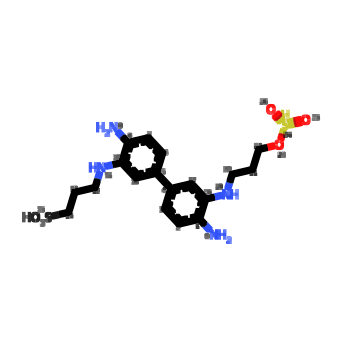 Nc1ccc(-c2ccc(N)c(NCCCS(=O)(=O)O)c2)cc1NCCCO[SH](=O)=O